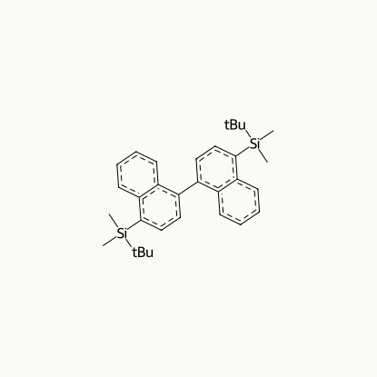 CC(C)(C)[Si](C)(C)c1ccc(-c2ccc([Si](C)(C)C(C)(C)C)c3ccccc23)c2ccccc12